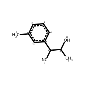 Cc1cccc(C(C#N)C(C)O)c1